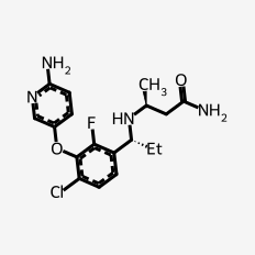 CC[C@@H](N[C@@H](C)CC(N)=O)c1ccc(Cl)c(Oc2ccc(N)nc2)c1F